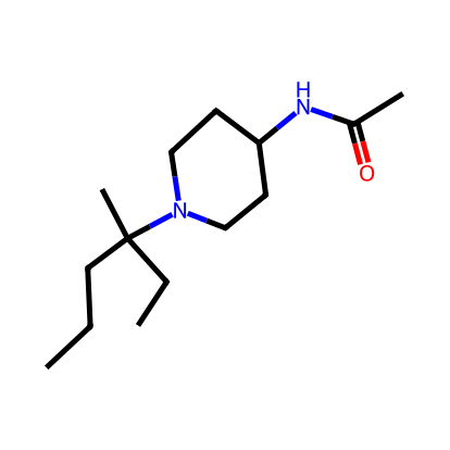 CCCC(C)(CC)N1CCC(NC(C)=O)CC1